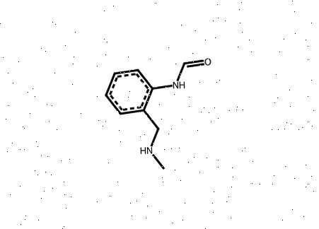 CNCc1ccccc1NC=O